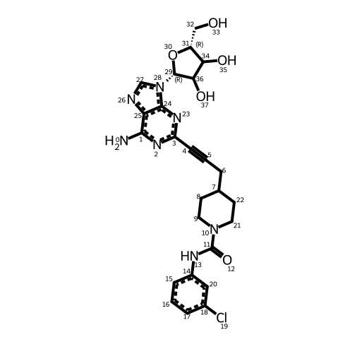 Nc1nc(C#CCC2CCN(C(=O)Nc3cccc(Cl)c3)CC2)nc2c1ncn2[C@@H]1O[C@H](CO)C(O)C1O